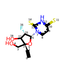 C#C[C@]1(CO)O[C@@H](n2ccc(=S)[nH]c2=S)[C@@H](F)C1O